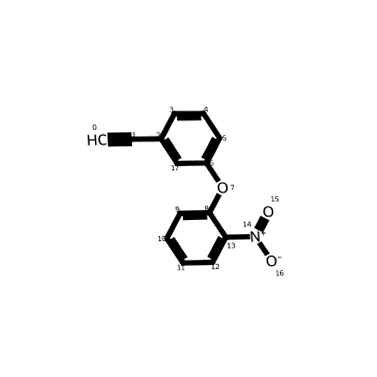 C#Cc1cccc(Oc2ccccc2[N+](=O)[O-])c1